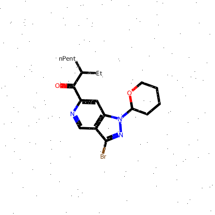 CCCCCC(CC)C(=O)c1cc2c(cn1)c(Br)nn2C1CCCCO1